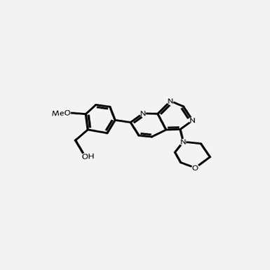 COc1ccc(-c2ccc3c(N4CCOCC4)ncnc3n2)cc1CO